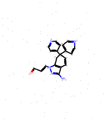 Nc1nn(C=CC=O)c2c1C=CC(c1ccncc1)(c1ccncc1)C2